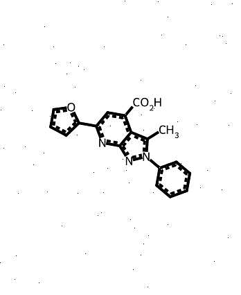 Cc1c2c(C(=O)O)cc(-c3ccco3)nc2nn1-c1ccccc1